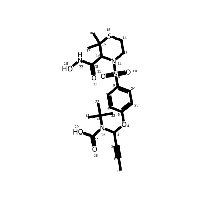 CC#CC(Oc1ccc(S(=O)(=O)N2CCSC(C)(C)C2C(=O)NO)cc1)N(C(=O)O)C(C)(C)C